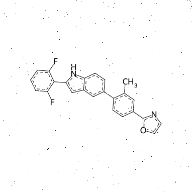 Cc1cc(-c2ncco2)ccc1-c1ccc2[nH]c(-c3c(F)cccc3F)cc2c1